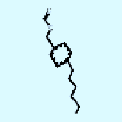 CCCCCCc1ccc(CO[C]=O)cc1